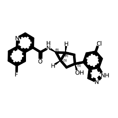 O=C(N[C@H]1[C@@H]2C[C@](O)(c3cc(Cl)cc4[nH]ncc34)C[C@@H]21)c1ccnc2ccc(F)cc12